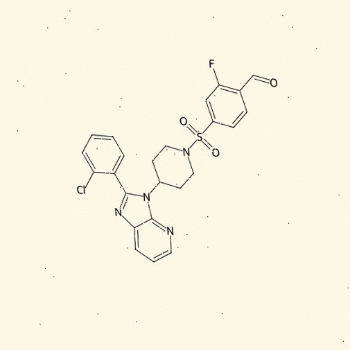 O=Cc1ccc(S(=O)(=O)N2CCC(n3c(-c4ccccc4Cl)nc4cccnc43)CC2)cc1F